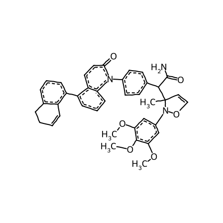 COc1cc(N2OC=CC2(C)C(C(N)=O)c2ccc(-n3c(=O)ccc4c(-c5cccc6c5C=CCC6)cccc43)cc2)cc(OC)c1OC